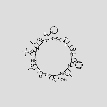 CC[C@H](C)[C@H]1C(=O)N[C@H](C(=O)N2CCCCC2)CSCC(=O)N(C)[C@@H](C)C(=O)N(C)[C@@H](Cc2ccccc2)C(=O)N(C)[C@@H](CC(C)C)C(=O)N[C@@H]([C@@H](C)O)C(=O)N(C)CC(=O)N(C)[C@@H](CC(C)C)C(=O)NC(COC(C)(C)C)C(=O)N1C